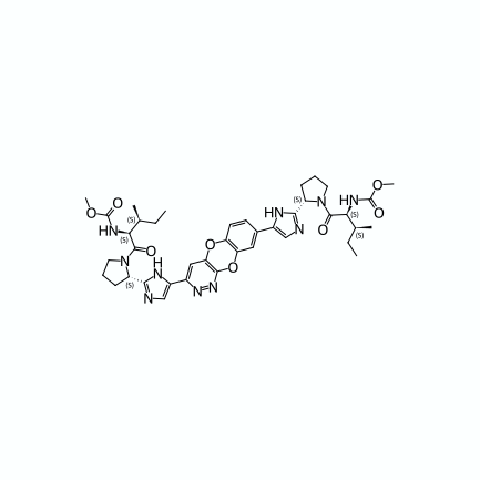 CC[C@H](C)[C@H](NC(=O)OC)C(=O)N1CCC[C@H]1c1ncc(-c2ccc3c(c2)Oc2nnc(-c4cnc([C@@H]5CCCN5C(=O)[C@@H](NC(=O)OC)[C@@H](C)CC)[nH]4)cc2O3)[nH]1